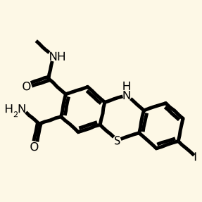 CNC(=O)c1cc2c(cc1C(N)=O)Sc1cc(I)ccc1N2